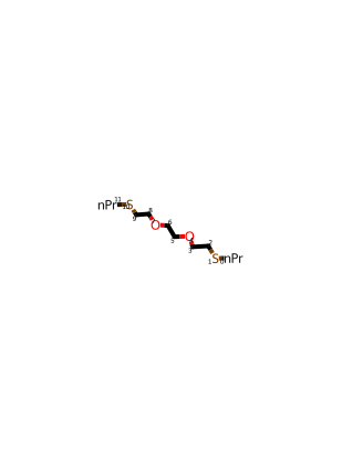 [CH2]CCSCCOCCOCCSCCC